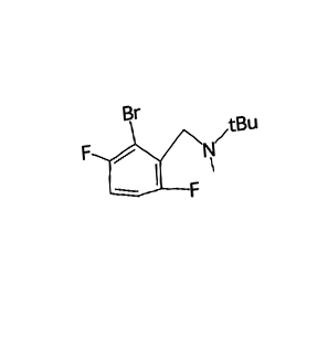 CN(Cc1c(F)ccc(F)c1Br)C(C)(C)C